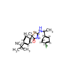 C[C@H](NC1=NC(=O)C(C)(c2ccc(C(C)(C)C#N)cc2)S1)c1ccc(F)cc1